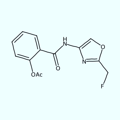 CC(=O)Oc1ccccc1C(=O)Nc1coc(CF)n1